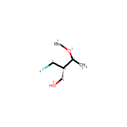 CC(OC(C)(C)C)[C@H](CO)CF